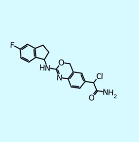 NC(=O)C(Cl)c1ccc2c(c1)COC(NC1CCc3cc(F)ccc31)=N2